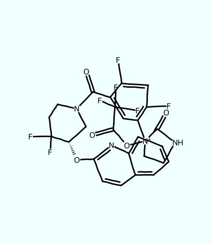 O=C(c1cc([N+]2(OC(=O)C(F)(F)F)CCNC2=O)c(F)cc1F)N1CCC(F)(F)[C@@H](Oc2ccc3ccccc3n2)C1